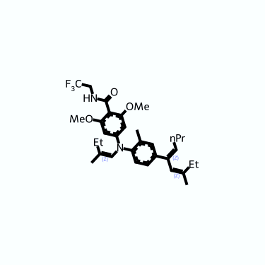 CCC/C=C(/C=C(/C)CC)c1ccc(N(/C=C(/C)CC)c2cc(OC)c(C(=O)NCC(F)(F)F)c(OC)c2)c(C)c1